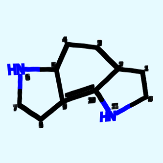 C1CC2CCC3NCCC3=C2N1